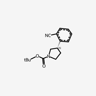 CC(C)(C)OC(=O)N1CC[C@@H](c2ccccc2C#N)C1